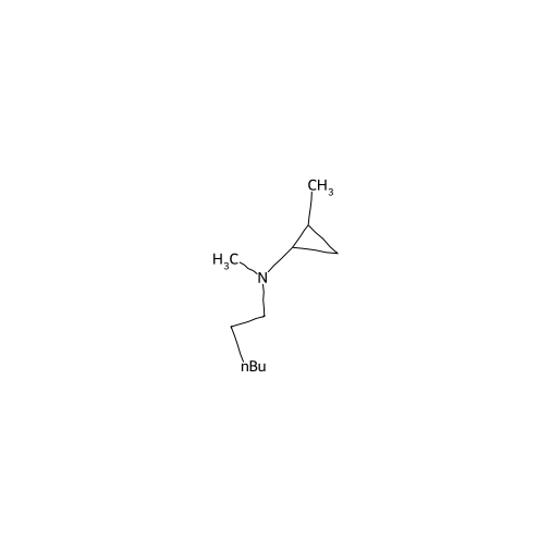 CCCCCCN(C)C1CC1C